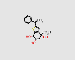 C=C(c1ccccc1)c1cc2c(s1)[C@@H](O)[C@H](O)C[C@]2(O)C(=O)O